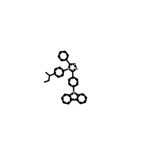 CCC(C)c1ccc(-n2c(-c3ccccc3)nnc2-c2ccc(-n3c4ccccc4c4ccccc43)cc2)cc1